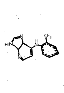 FC(F)(F)c1ccccc1NC1=CC=NC2NC=NC12